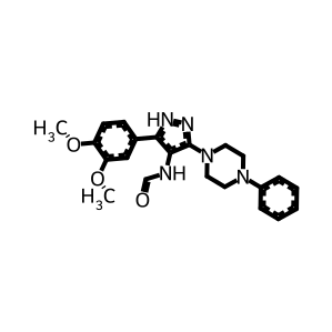 COc1ccc(-c2[nH]nc(N3CCN(c4ccccc4)CC3)c2NC=O)cc1OC